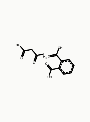 CC(=O)CC(=O)O.O=C(O)c1ccccc1C(=O)O